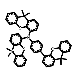 CC1(C)c2ccccc2Oc2c(-c3ccc(N(c4cccc5c4Sc4ccccc4C5(C)C)c4cccc5c4Sc4ccccc4[Si]5(C)C)cc3)cccc21